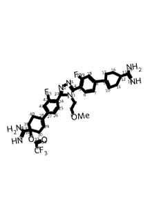 COCCn1c(-c2ccc(C3=CCC(C(=N)N)CC3)cc2F)nnc1-c1ccc(C2=CCC(OC(=O)C(F)(F)F)(C(=N)N)CC2)cc1F